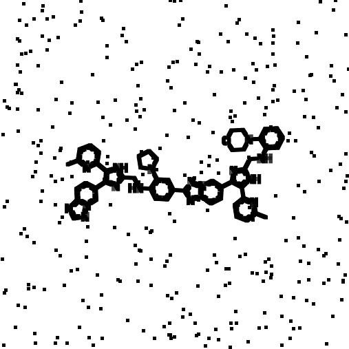 Cc1cccc(-c2[nH]c(CNc3ccc(-c4nc5ccc(-c6nc(CNc7ccccc7N7CCOCC7)[nH]c6-c6cccc(C)n6)cn5n4)cc3N3CCCC3)nc2-c2ccc3ncnn3c2)n1